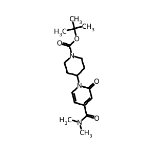 CN(C)C(=O)c1ccn(C2CCN(C(=O)OC(C)(C)C)CC2)c(=O)c1